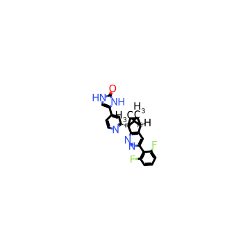 CC1(C)[C@H]2CC[C@]1(c1cc(-c3c[nH]c(=O)[nH]3)ccn1)c1nnc(-c3c(F)cccc3F)cc12